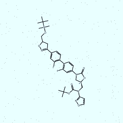 CC(C)(C)OC(=O)N(C[C@H]1CN(c2ccc(-c3ccc(C4=NOC(CO[Si](C)(C)C(C)(C)C)C4)cc3F)c(F)c2)C(=O)O1)c1ccon1